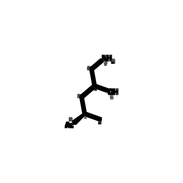 CC(=O)[C@H](C)CC(O)CN